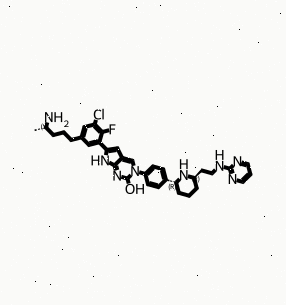 C[C@H](N)CCCc1cc(Cl)c(F)c(-c2cc3c([nH]2)=NC(O)N(c2ccc([C@H]4CCC[C@H](CCNc5ncccn5)N4)cc2)C=3)c1